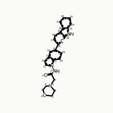 O=C(CN1CCOCC1)Nn1ccc2cc(-c3ccc4c(c3)[nH]c3ccccc34)ccc21